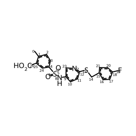 Cc1ccc(S(=O)(=O)Nc2ccc(SCc3ccc(F)cc3)nc2)cc1C(=O)O